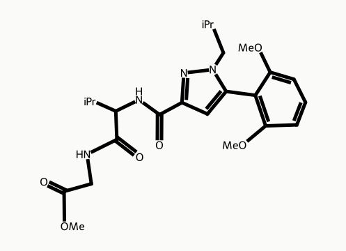 COC(=O)CNC(=O)C(NC(=O)c1cc(-c2c(OC)cccc2OC)n(CC(C)C)n1)C(C)C